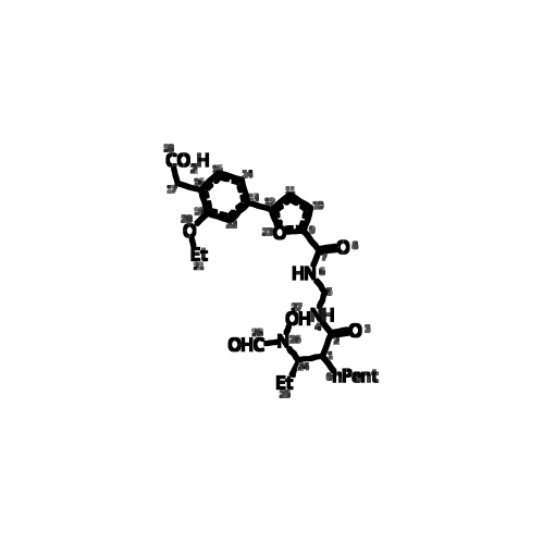 CCCCCC(C(=O)NCNC(=O)c1ccc(-c2ccc(CC(=O)O)c(OCC)c2)o1)[C@@H](CC)N(O)C=O